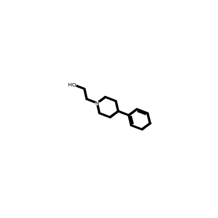 OCCN1CCC(C2=CC[CH]C=C2)CC1